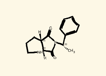 C[C@@H](c1ccccc1)N1C(=O)[C@H]2CCCN[C@H]2C1=O